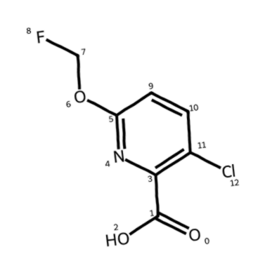 O=C(O)c1nc(OCF)ccc1Cl